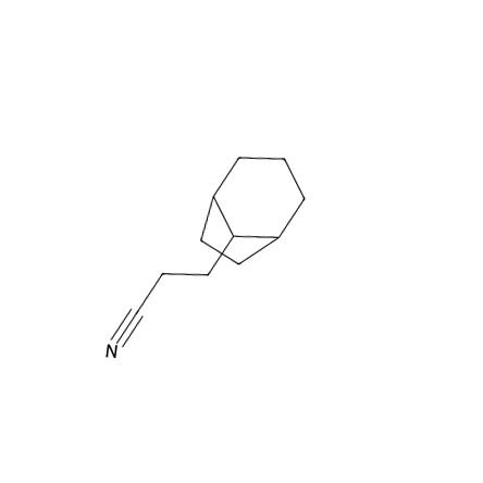 N#CCCC1C2CCCC1CC2